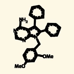 COc1ccc(Cn2c(-c3ccccc3)c(-c3ccccc3)c3c(N)ncnc32)c(OC)c1